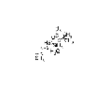 CCCCCC[SiH]([SiH3])OC(C)CC(C)C.O